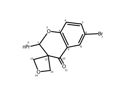 CCCC1Oc2ccc(Br)cc2C(=O)C12COC2